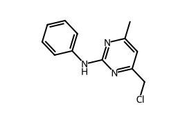 Cc1cc(CCl)nc(Nc2ccccc2)n1